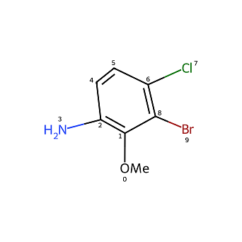 COc1c(N)ccc(Cl)c1Br